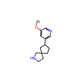 CC(C)Oc1cncc(C2CCC3(CCNC3)C2)c1